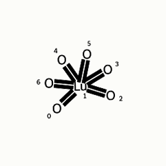 [O]=[Lu](=[O])(=[O])(=[O])(=[O])=[O]